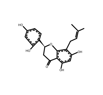 CC(C)=CCc1c(O)cc(O)c2c1O[C@H](c1ccc(O)cc1O)CC2=O